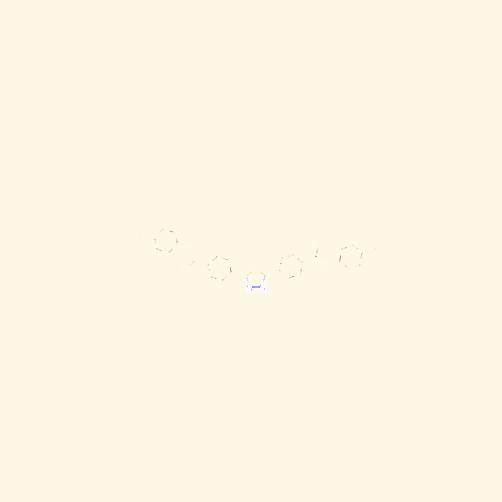 CCCCCC(C)(C)c1ccc(OC(=O)c2ccc(-c3nnc(-c4ccc(C(=O)Oc5ccc(C(C)(C)CCCCC)cc5)cc4)o3)cc2)cc1